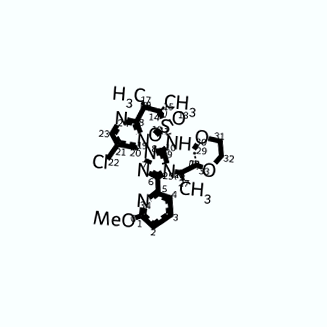 COc1cccc(-c2nnc(NS(=O)(=O)[C@@H](C)[C@H](C)c3ncc(Cl)cn3)n2[C@H](C)[C@@H]2COCCO2)n1